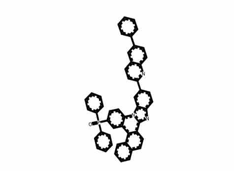 O=P(c1ccccc1)(c1ccccc1)c1ccc2c(c1)c1c3ccccc3ccc1c1nc3ccc(-c4ccc5cc(-c6ccccc6)ccc5n4)cc3n21